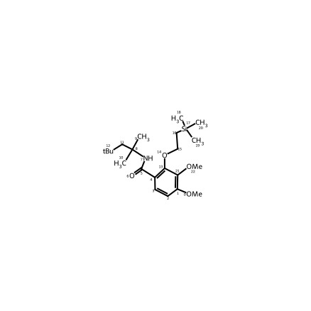 COc1ccc(C(=O)NC(C)(C)CC(C)(C)C)c(OCC[Si](C)(C)C)c1OC